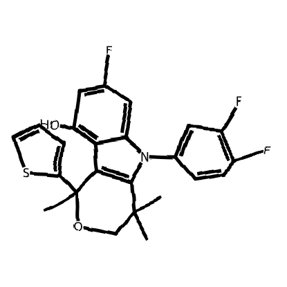 CC1(C)COC(C)(c2cccs2)c2c1n(-c1ccc(F)c(F)c1)c1cc(F)cc(O)c21